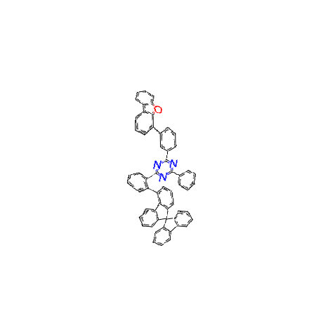 c1ccc(-c2nc(-c3cccc(-c4cccc5c4oc4ccccc45)c3)nc(-c3ccccc3-c3cccc4c3-c3ccccc3C43c4ccccc4-c4ccccc43)n2)cc1